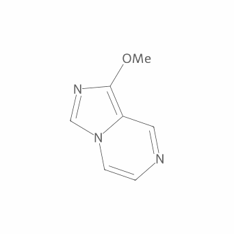 COc1ncn2ccncc12